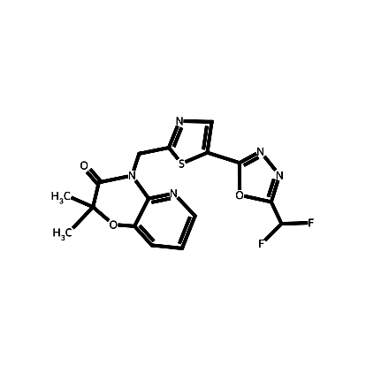 CC1(C)Oc2cccnc2N(Cc2ncc(-c3nnc(C(F)F)o3)s2)C1=O